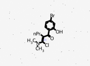 CCC/C(C(=O)c1ccc(Br)cc1O)=C(/Cl)N(C)C